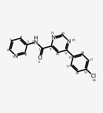 O=C(Nc1cccnc1)c1cc(-c2ccc(Cl)cc2)ncn1